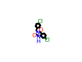 O=c1[nH]c2cc(Cl)ccc2c(=O)n1Cc1ccc(Cl)cc1